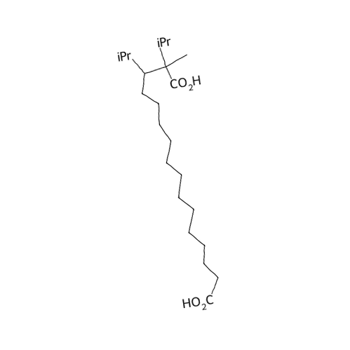 CC(C)C(CCCCCCCCCCCCC(=O)O)C(C)(C(=O)O)C(C)C